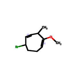 CO/C1=C/CCC(Br)/C=C\C1C